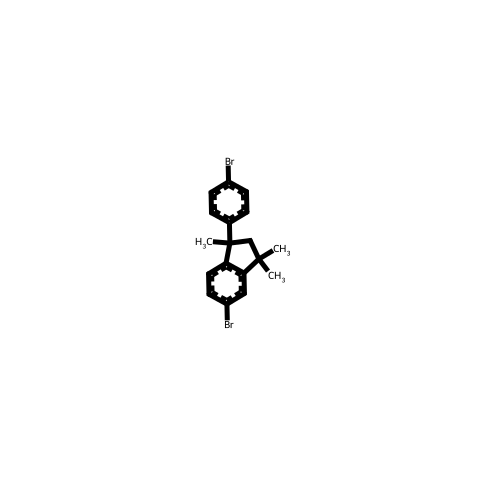 CC1(C)CC(C)(c2ccc(Br)cc2)c2ccc(Br)cc21